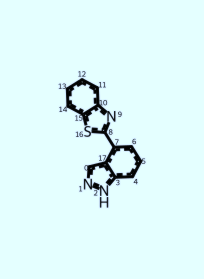 [c]1n[nH]c2cccc(-c3nc4ccccc4s3)c12